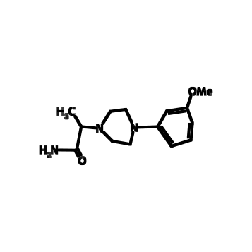 COc1cccc(N2CCN(C(C)C(N)=O)CC2)c1